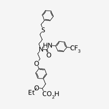 CCOC(Cc1ccc(OCCN(CCCSCc2ccccc2)C(=O)Nc2ccc(C(F)(F)F)cc2)cc1)C(=O)O